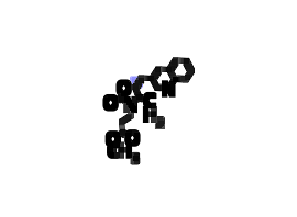 C=c1/c(=C\c2cnc3ccccc3c2)oc(=O)n1CCC(=O)OC